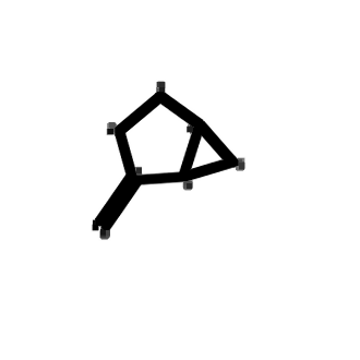 [C]=C1CCC2CC12